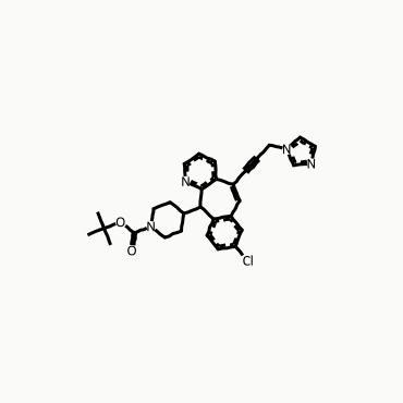 CC(C)(C)OC(=O)N1CCC(C2c3ccc(Cl)cc3C=C(C#CCn3ccnc3)c3cccnc32)CC1